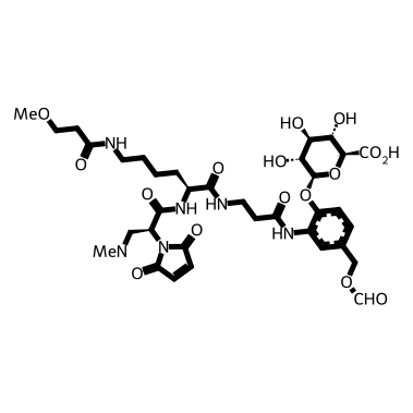 CNC[C@@H](C(=O)N[C@@H](CCCCNC(=O)CCOC)C(=O)NCCC(=O)Nc1cc(COC=O)ccc1O[C@@H]1O[C@H](C(=O)O)[C@@H](O)[C@H](O)[C@H]1O)N1C(=O)C=CC1=O